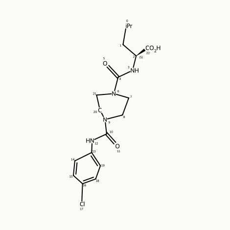 CC(C)C[C@H](NC(=O)N1CCN(C(=O)Nc2ccc(Cl)cc2)CC1)C(=O)O